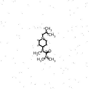 CC(C)CN1CCC(N(C)C(=O)N(C)C)CC1